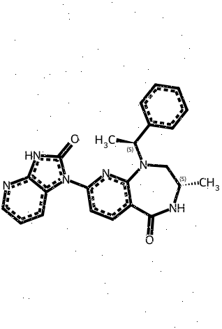 C[C@H]1CN([C@@H](C)c2ccccc2)c2nc(-n3c(=O)[nH]c4ncccc43)ccc2C(=O)N1